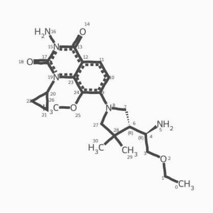 CCOC[C@H](N)[C@H]1CN(c2ccc3c(=O)n(N)c(=O)n(C4CC4)c3c2OC)CC1(C)C